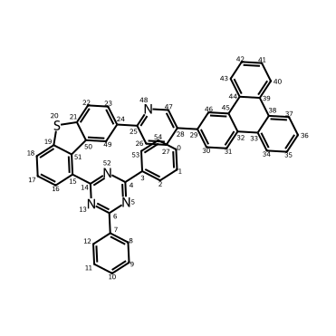 c1ccc(-c2nc(-c3ccccc3)nc(-c3cccc4sc5ccc(-c6ccc(-c7ccc8c9ccccc9c9ccccc9c8c7)cn6)cc5c34)n2)cc1